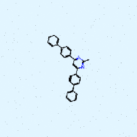 Cc1nc(-c2c#cc(-c3ccccc3)cc2)cc(-c2ccc(C3=CCCC=C3)cc2)n1